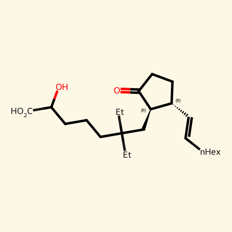 CCCCCCC=C[C@H]1CCC(=O)[C@@H]1CC(CC)(CC)CCCC(O)C(=O)O